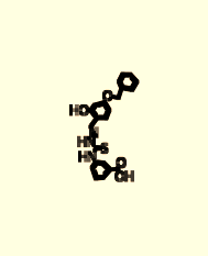 O=C(O)c1cccc(NC(=S)NN=Cc2ccc(OCc3ccccc3)cc2O)c1